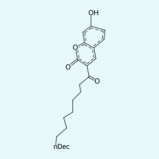 CCCCCCCCCCCCCCCCCC(=O)c1cc2ccc(O)cc2oc1=O